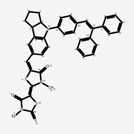 CCN1C(=O)/C(=c2\s/c(=C/c3ccc4c(c3)C3CCCC3N4c3ccc(C=C(c4ccccc4)c4ccccc4)cc3)c(=O)n2C)SC1=S